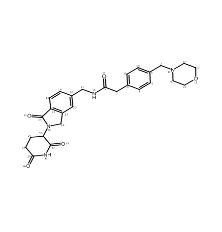 O=C(Cc1ccc(CN2CCOCC2)cc1)NCc1ccc2c(c1)CN(C1CCC(=O)NC1=O)C2=O